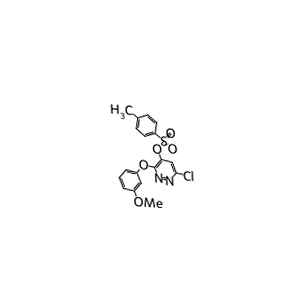 COc1cccc(Oc2nnc(Cl)cc2OS(=O)(=O)c2ccc(C)cc2)c1